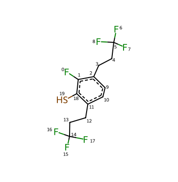 Fc1c(CCC(F)(F)F)ccc(CCC(F)(F)F)c1S